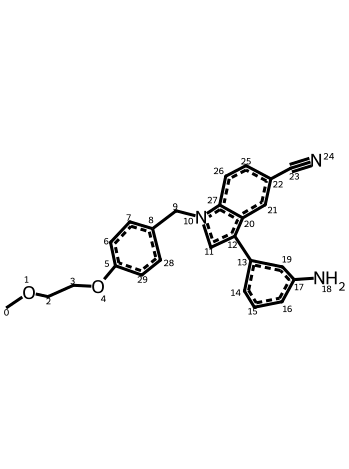 COCCOc1ccc(Cn2cc(-c3cccc(N)c3)c3cc(C#N)ccc32)cc1